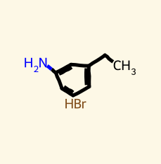 Br.CCc1cccc(N)c1